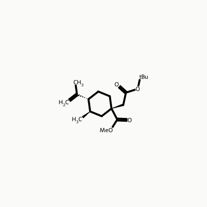 C=C(C)[C@@H]1CC[C@](CC(=O)OC(C)(C)C)(C(=O)OC)C[C@H]1C